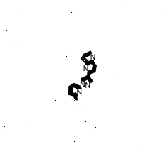 Cc1cccc(-n2cc(-c3ccc4ncccc4n3)cn2)n1